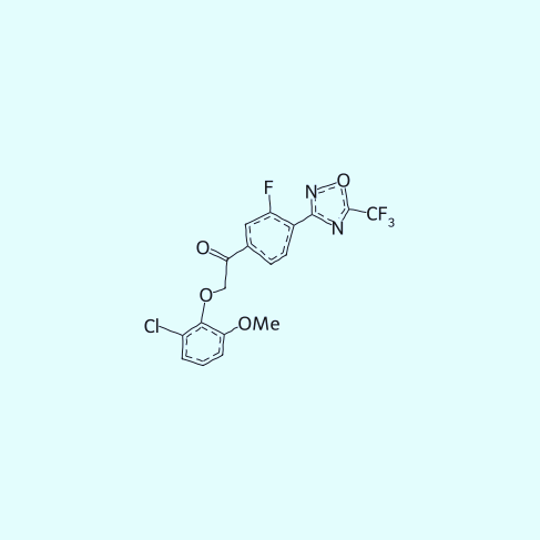 COc1cccc(Cl)c1OCC(=O)c1ccc(-c2noc(C(F)(F)F)n2)c(F)c1